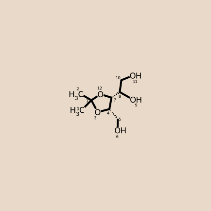 CC1(C)O[C@@H](CO)[C@@H](C(O)CO)O1